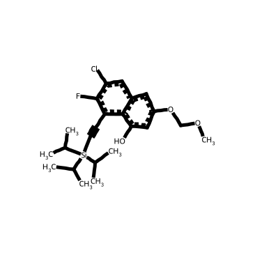 COCOc1cc(O)c2c(C#C[Si](C(C)C)(C(C)C)C(C)C)c(F)c(Cl)cc2c1